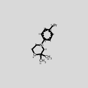 CC(C)c1ccc(N2CCOC(C)(C)C2)cc1